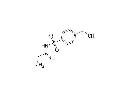 CCC(=O)NS(=O)(=O)c1ccc(CC)cc1